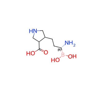 N[C@@H](CCC1CNCC1C(=O)O)B(O)O